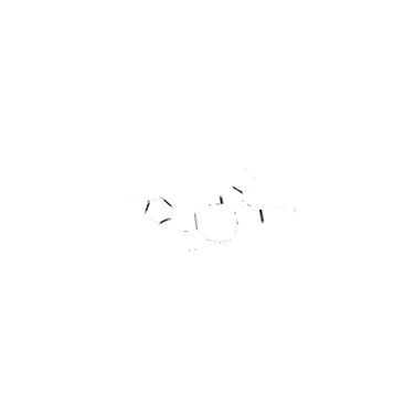 CCCO[C@H]1COC[C@H](N(C(=O)OC(C)(C)C)C(=O)OC(C)(C)C)C(=O)O[C@@H](C)[C@@H]1Oc1ccc(C(F)(F)F)cc1